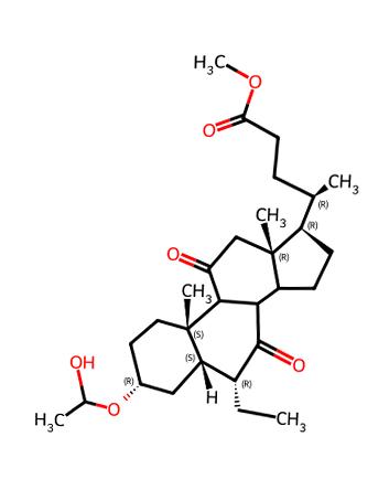 CC[C@H]1C(=O)C2C3CC[C@H]([C@H](C)CCC(=O)OC)[C@@]3(C)CC(=O)C2[C@@]2(C)CC[C@@H](OC(C)O)C[C@@H]12